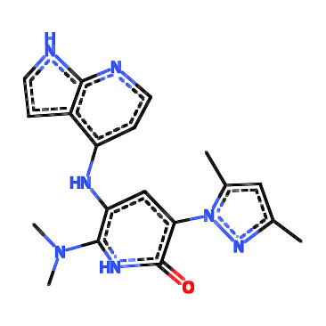 Cc1cc(C)n(-c2cc(Nc3ccnc4[nH]ccc34)c(N(C)C)[nH]c2=O)n1